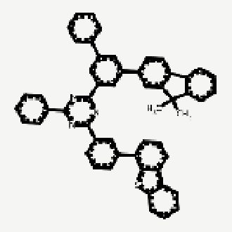 CC1(C)c2ccccc2-c2ccc(-c3cc(-c4ccccc4)cc(-c4nc(-c5ccccc5)nc(-c5cccc(-c6cccc7c6sc6ccccc67)c5)n4)c3)cc21